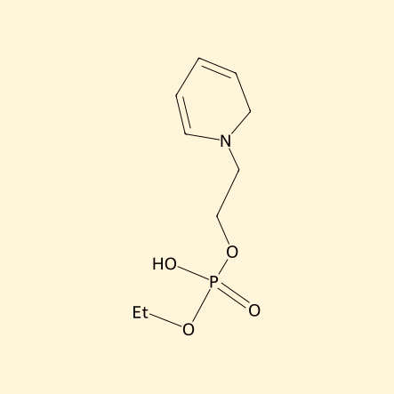 CCOP(=O)(O)OCCN1C=CC=CC1